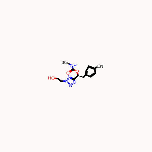 CC(C)(C)NC(=O)O[C@@H](Cc1ccc(C#N)cc1)c1nnn(CCO)n1